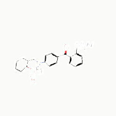 CCN(CC1CCCCC1O)c1ccc(C(=O)c2ccccc2C(=O)O)cc1